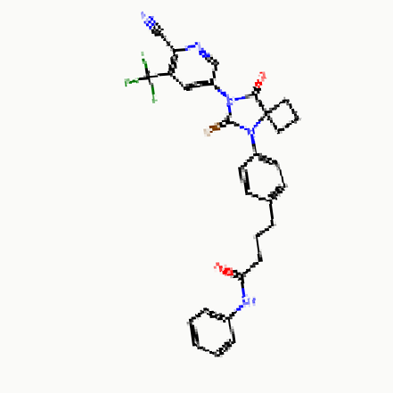 N#Cc1ncc(N2C(=O)C3(CCC3)N(c3ccc(CCCC(=O)Nc4ccccc4)cc3)C2=S)cc1C(F)(F)F